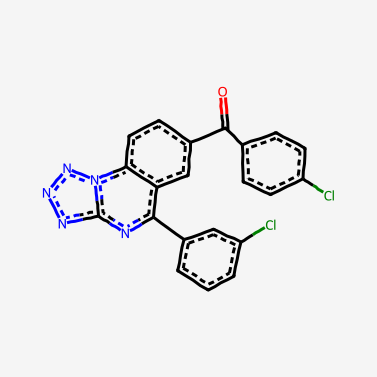 O=C(c1ccc(Cl)cc1)c1ccc2c(c1)c(-c1cccc(Cl)c1)nc1nnnn12